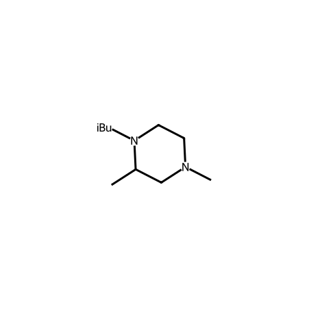 CCC(C)N1CCN(C)CC1C